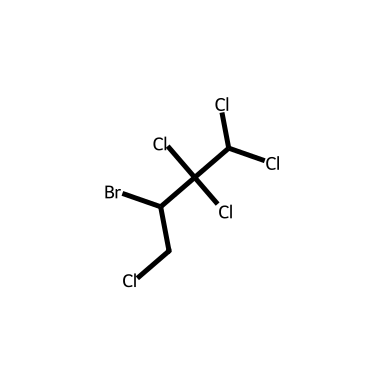 ClCC(Br)C(Cl)(Cl)C(Cl)Cl